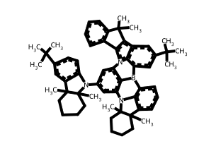 CC(C)(C)c1ccc2c(c1)C1(C)CCCCC1(C)N2c1cc2c3c(c1)-n1c4c(c5cc(C(C)(C)C)cc(c51)B3c1cccc3c1N2C1(C)CCCCC31C)C(C)(C)c1ccccc1-4